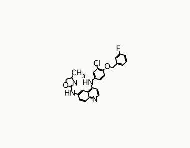 CC1COC(Nc2ccc3nccc(Nc4ccc(OCc5cccc(F)c5)c(Cl)c4)c3c2)=N1